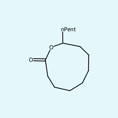 CCCCCC1CCCCCCCC(=O)O1